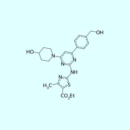 CCOC(=O)c1sc(Nc2nc(-c3ccc(CO)cc3)cc(N3CCC(O)CC3)n2)nc1C